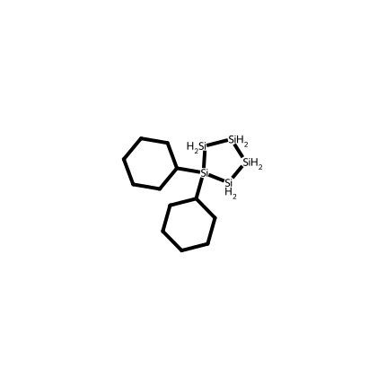 C1CCC([Si]2(C3CCCCC3)[SiH2][SiH2][SiH2][SiH2]2)CC1